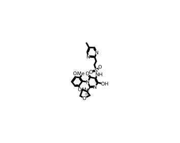 COc1cccc(OC)c1-n1c([C@@H]2CCOC2)nc(O)c(NS(=O)(=O)CCc2ncc(C)cn2)c1=O